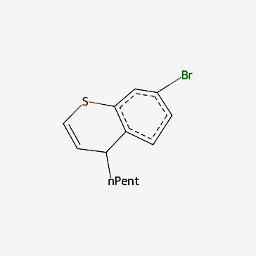 CCCCCC1C=CSc2cc(Br)ccc21